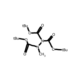 CN(C(=O)OC(C)(C)C)N(C(=O)OC(C)(C)C)C(=O)OC(C)(C)C